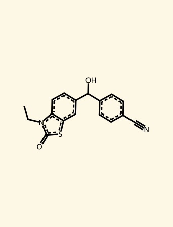 CCn1c(=O)sc2cc(C(O)c3ccc(C#N)cc3)ccc21